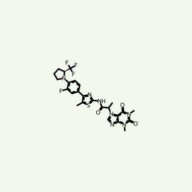 Cc1sc(NC(=O)C(C)n2cnc3c2c(=O)n(C)c(=O)n3C)nc1-c1ccc(N2CCC[C@H]2C(F)(F)F)c(F)c1